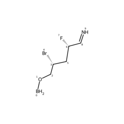 BOC[C@H](Br)C[C@H](F)C=N